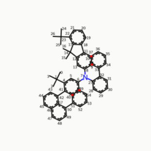 CC(C)(C)c1cc(N(c2ccc3c(c2)C(C)(C)c2c-3cccc2C(C)(C)C)c2ccccc2-c2ccccc2)ccc1-c1cccc2cccc(-c3ccccc3)c12